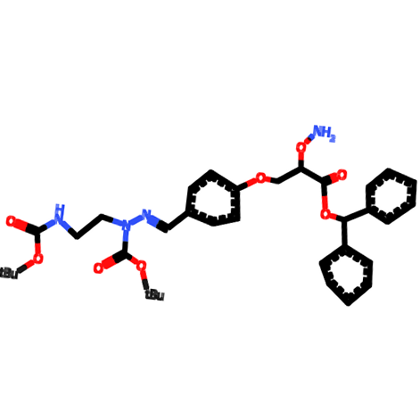 CC(C)(C)OC(=O)NCCN(N=Cc1ccc(OCC(ON)C(=O)OC(c2ccccc2)c2ccccc2)cc1)C(=O)OC(C)(C)C